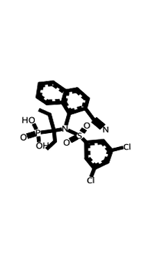 CCC(CC)(N(c1c(C#N)ccc2ccccc12)S(=O)(=O)c1cc(Cl)cc(Cl)c1)P(=O)(O)O